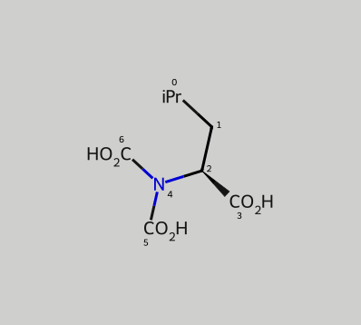 CC(C)C[C@@H](C(=O)O)N(C(=O)O)C(=O)O